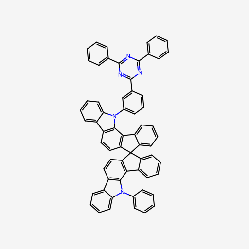 c1ccc(-c2nc(-c3ccccc3)nc(-c3cccc(-n4c5ccccc5c5ccc6c(c54)-c4ccccc4C64c5ccccc5-c5c4ccc4c6ccccc6n(-c6ccccc6)c54)c3)n2)cc1